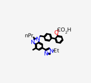 CCCc1nc2c(C)cc(-c3cn(CC)cn3)cc2n1Cc1ccc(-c2ccccc2OC(=O)O)cc1